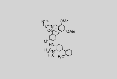 COc1ccc(CN(c2ccncn2)S(=O)(=O)c2cc(Cl)c(N[C@@H]3CC[C@@H](c4ccccc4C(F)(F)F)C[C@H]3N(C)C)cc2F)c(OC)c1